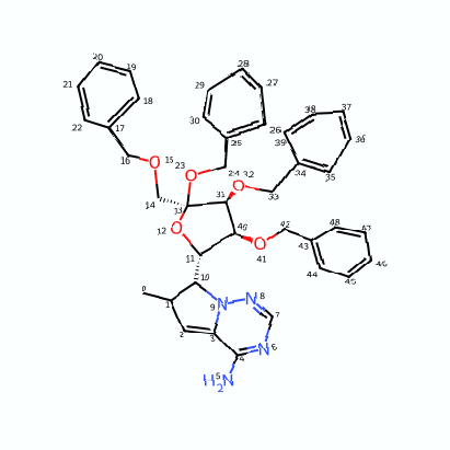 CC1C=C2C(N)=NC=NN2C1[C@@H]1O[C@@](COCc2ccccc2)(OCc2ccccc2)[C@@H](OCc2ccccc2)[C@H]1OCc1ccccc1